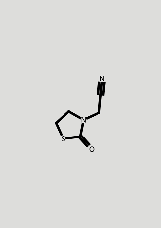 N#CCN1CCSC1=O